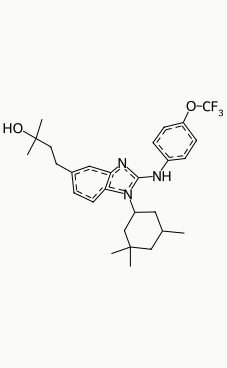 CC1CC(n2c(Nc3ccc(OC(F)(F)F)cc3)nc3cc(CCC(C)(C)O)ccc32)CC(C)(C)C1